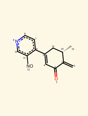 C=C1C(=O)C=C(c2ccncc2N=O)C[C@@H]1C